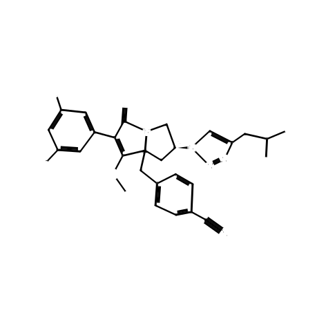 COC1=C(c2cc(Cl)cc(Cl)c2)C(=O)N2C[C@@H](n3cc(CC(C)C)nn3)CC12Cc1ccc(C#N)cc1